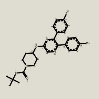 CC(C)(C)OC(=O)N1CCC(Oc2cnc(-c3ccc(F)cc3)c(-c3ccc(F)cc3)n2)CC1